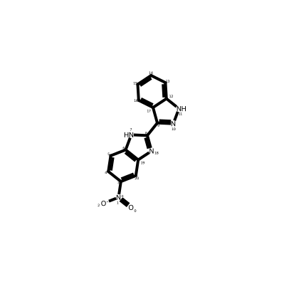 O=[N+]([O-])c1ccc2[nH]c(-c3n[nH]c4ccccc34)nc2c1